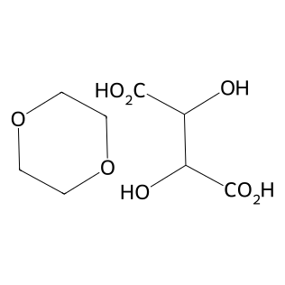 C1COCCO1.O=C(O)C(O)C(O)C(=O)O